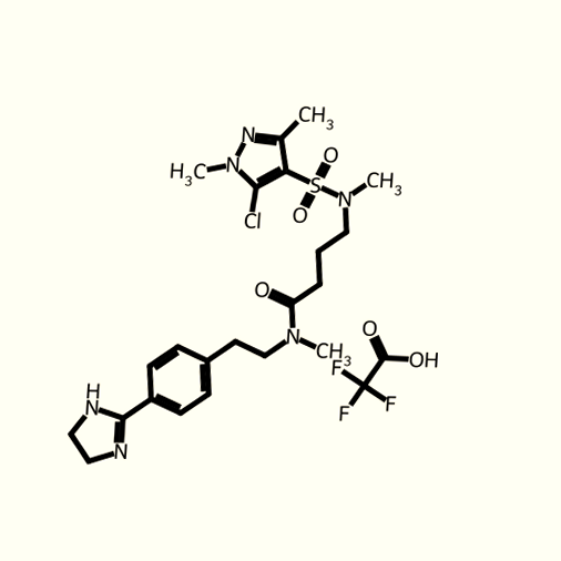 Cc1nn(C)c(Cl)c1S(=O)(=O)N(C)CCCC(=O)N(C)CCc1ccc(C2=NCCN2)cc1.O=C(O)C(F)(F)F